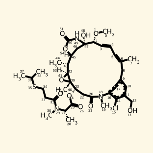 CO[C@@H]1/C=C/C=C(\C)Cc2cc(CO)c(Cl)c(c2)N(C)C(=O)C[C@H](OC(=O)[C@H](C)N(C)C(=O)CCSC(C)C)[C@]2(C)O[C@H]2[C@H](C)[C@@H]2C[C@@]1(O)NC(=O)O2